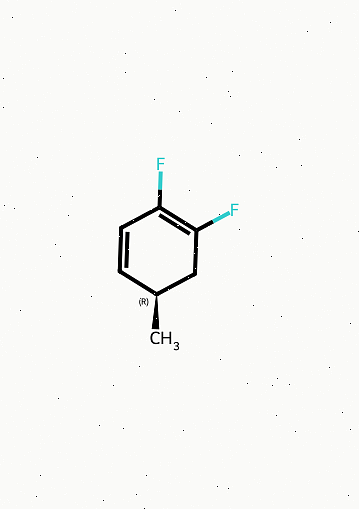 C[C@H]1C=CC(F)=C(F)C1